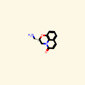 NC[C@H]1Cn2c(=O)ccc3cccc(c32)O1